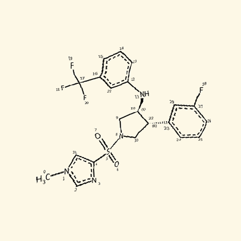 Cn1cnc(S(=O)(=O)N2C[C@@H](Nc3cccc(C(F)(F)F)c3)[C@H](c3cccc(F)c3)C2)c1